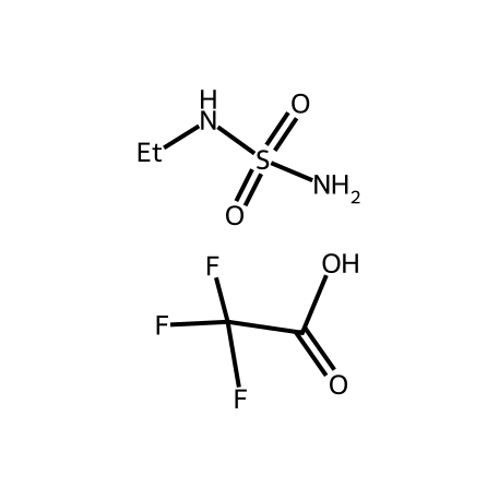 CCNS(N)(=O)=O.O=C(O)C(F)(F)F